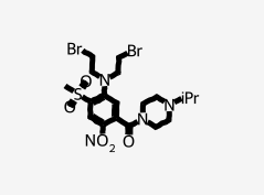 CC(C)N1CCN(C(=O)c2cc(N(CCBr)CCBr)c(S(C)(=O)=O)cc2[N+](=O)[O-])CC1